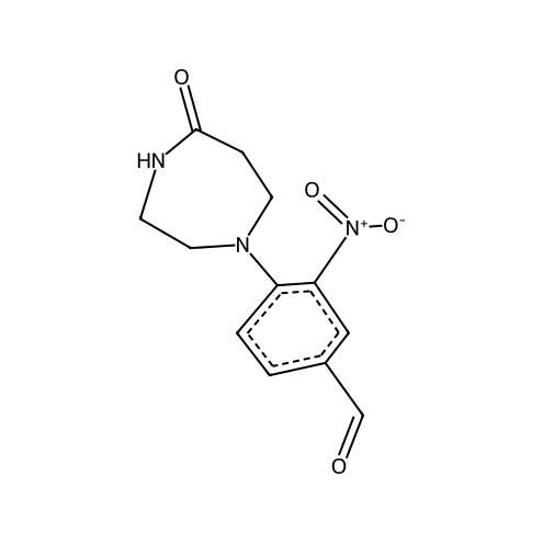 O=Cc1ccc(N2CCNC(=O)CC2)c([N+](=O)[O-])c1